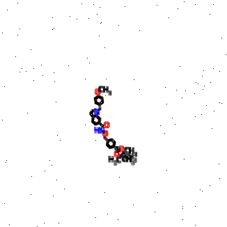 COc1ccc(Cn2ccc3ccc(C(=O)NOCc4ccc(B5OC(C)(C)C(C)(C)O5)cc4)cc32)cc1